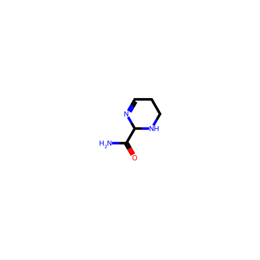 NC(=O)C1N=CCCN1